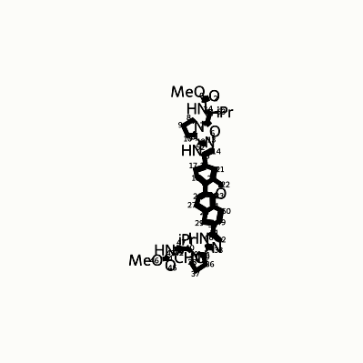 COC(=O)N[C@H](C(=O)N1CCC[C@H]1c1ncc(-c2ccc3c(c2)COc2c-3ccc3cc(-c4cnc([C@@H]5CCCN5C[C@](C=O)(NC(=O)OC)C(C)C)[nH]4)ccc23)[nH]1)C(C)C